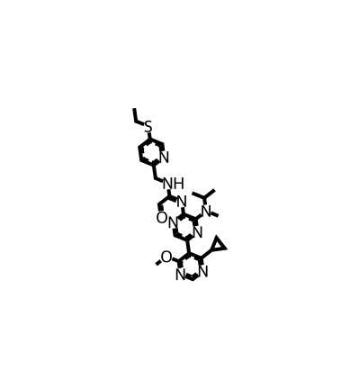 CCSc1ccc(CN/C(C=O)=N/c2ncc(-c3c(OC)ncnc3C3CC3)nc2N(C)C(C)C)nc1